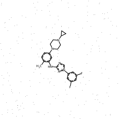 Cc1ccc(N2CCN(C3CC3)CC2)cc1Nc1ncn(-c2cc(F)cc(F)c2)n1